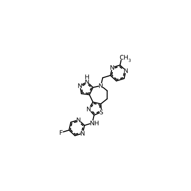 Cc1nccc(CN2CCc3sc(Nc4ncc(F)cn4)nc3-c3cn[nH]c32)n1